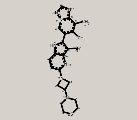 Cc1c(-c2[nH]c3ccc(N4CC(N5CCSCC5)C4)nc3c2C(C)C)cn2ncnc2c1C